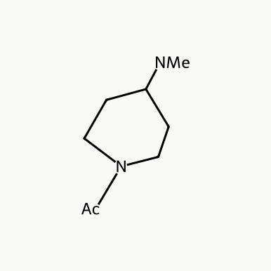 [CH2]NC1CCN(C(C)=O)CC1